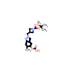 Cc1cc2nn(CC3CN(C(=O)OC(C)(C)C)C3)cc2cc1OC(=O)O